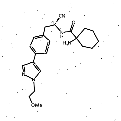 COCCn1cc(-c2ccc(C[C@@H](C#N)NC(=O)C3(N)CCCCC3)cc2)cn1